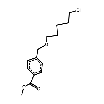 COC(=O)c1ccc(COCCCCCO)cc1